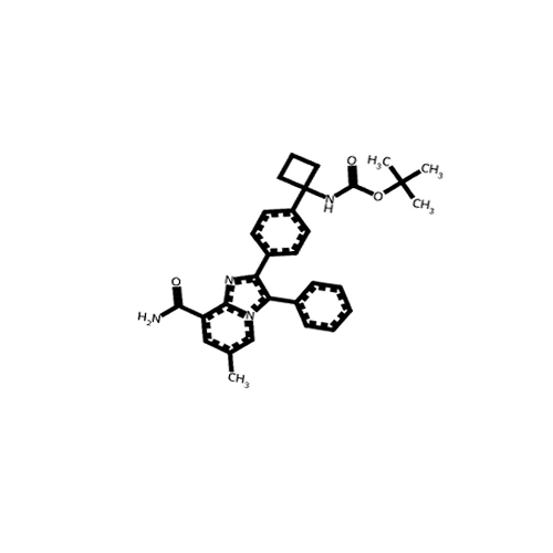 Cc1cc(C(N)=O)c2nc(-c3ccc(C4(NC(=O)OC(C)(C)C)CCC4)cc3)c(-c3ccccc3)n2c1